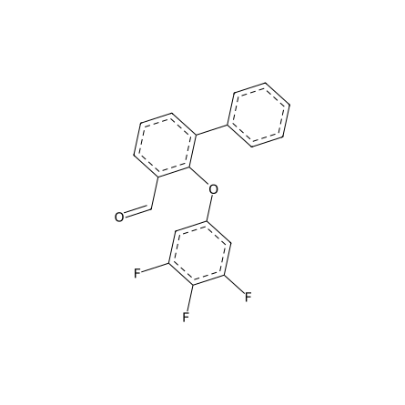 O=Cc1cccc(-c2ccccc2)c1Oc1cc(F)c(F)c(F)c1